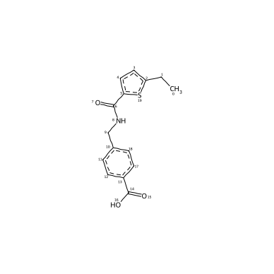 CCc1ccc(C(=O)NCc2ccc(C(=O)O)cc2)s1